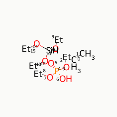 CC.CCOP(=O)(O)OCC.CCO[SiH](OCC)OCC